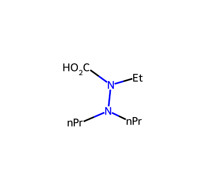 CCCN(CCC)N(CC)C(=O)O